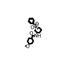 COC1CCC(C(=O)N[C@@H]2CCCN(S(=O)(=O)c3ccccc3)C2)CC1